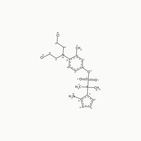 Cc1cc(OS(=O)(=O)C(C)(C)c2ccsc2N)ccc1N(CCCl)CCCl